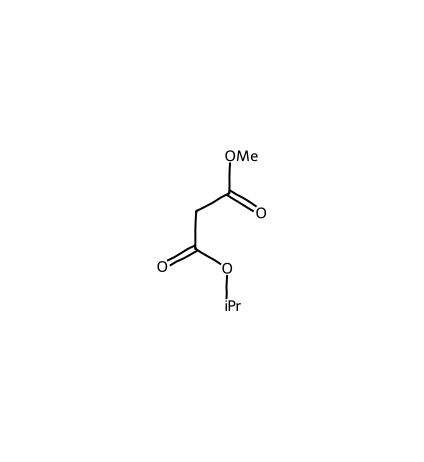 COC(=O)CC(=O)OC(C)C